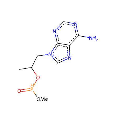 CO[PH](=O)OC(C)Cn1cnc2c(N)ncnc21